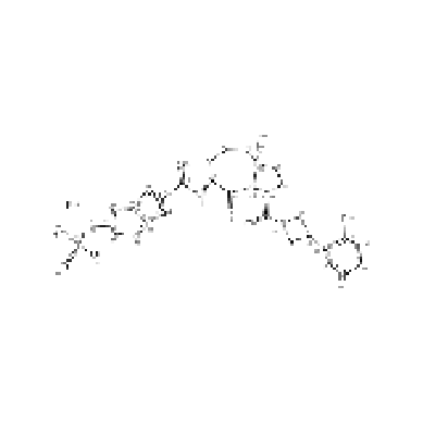 O=C(N[C@H]1CCC[C@H]2CC[C@@H](C(=O)N3CC(c4cnccc4F)C3)N2C1=O)c1cc2cc([C@@H](F)P(=O)(O)O)ccc2s1